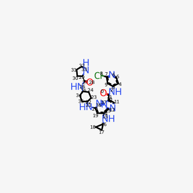 O=C(Nc1ccnc(Cl)c1)c1cnc2c(NC3CC3)cc(NC3CCC(NC(=O)[C@H]4CCCN4)CC3)nn12